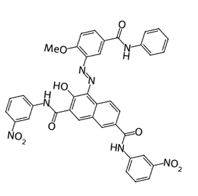 COc1ccc(C(=O)Nc2ccccc2)cc1/N=N/c1c(O)c(C(=O)Nc2cccc([N+](=O)[O-])c2)cc2cc(C(=O)Nc3cccc([N+](=O)[O-])c3)ccc12